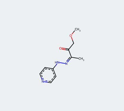 COCC(=O)/C(C)=N\Nc1ccncc1